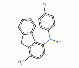 CCc1ccc(N(CC)c2ccc(C)c3c2-c2ccccc2C3)cc1